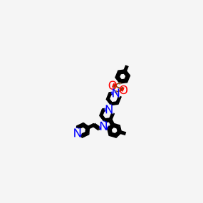 Cc1ccc(S(=O)(=O)N2CCC(N3CCc4c(c5cc(C)ccc5n4C=Cc4ccncc4)C3)CC2)cc1